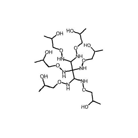 CC(O)CONC(NOCC(C)O)C(NOCC(C)O)(NOCC(C)O)C(NOCC(C)O)NOCC(C)O